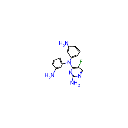 Nc1cccc(N(c2cccc(N)c2)c2nc(N)ncc2F)c1